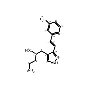 CN(CCN)Cc1c[nH]nc1/C=C/c1cccc(C(F)(F)F)c1